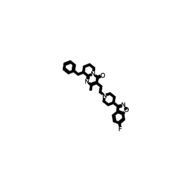 Cc1nc2n(c(=O)c1CCN1CCC(c3noc4cc(F)ccc34)CC1)CCCC2Cc1ccccc1